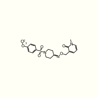 Cn1cccc(CON=C2CCN(S(=O)(=O)c3ccc(OC(F)(F)F)cc3)CC2)c1=O